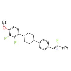 CCC/C(F)=C/c1ccc(C2CCC(c3ccc(OCC)c(F)c3F)CC2)cc1